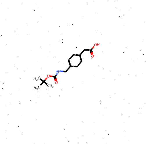 CC(C)(C)OC(=O)NCC1CCC(CC(=O)O)CC1